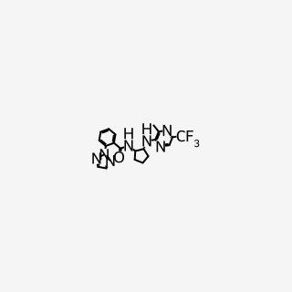 Cc1nc(C(F)(F)F)cnc1N[C@H]1CCCC1NC(=O)c1ccccc1-n1nccn1